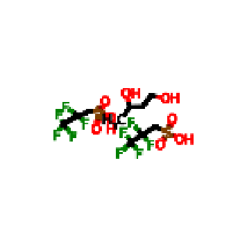 CC(O)CCO.O=S(=O)(O)CC(F)(F)C(F)(F)F.O=S(=O)(O)CC(F)(F)C(F)(F)F